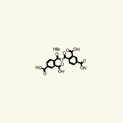 Br.O=C(O)c1ccc(C(=O)OC(=O)c2ccc(C(=O)O)cc2C(=O)O)c(C(=O)O)c1